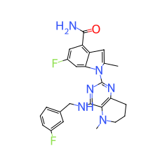 Cc1cc2c(C(N)=O)cc(F)cc2n1-c1nc2c(c(NCc3cccc(F)c3)n1)N(C)CCC2